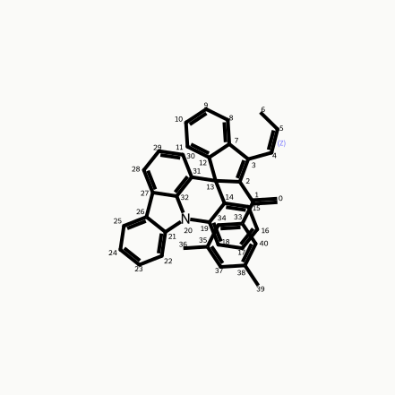 C=C(C1=C(/C=C\C)c2ccccc2C12c1ccccc1-n1c3ccccc3c3cccc2c31)c1cc(C)cc(C)c1